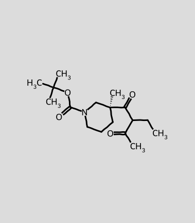 CCC(C(C)=O)C(=O)[C@@]1(C)CCCN(C(=O)OC(C)(C)C)C1